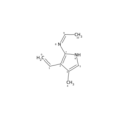 C=Cc1c(C)c[nH]c1/N=C\C